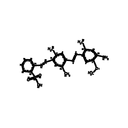 COc1cc(N=Nc2cc(C)c(N=Nc3ccccc3S(=O)(=O)O)cc2C)c(C)cc1N